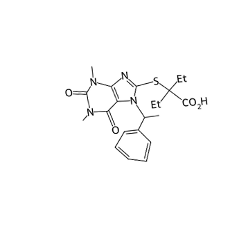 CCC(CC)(Sc1nc2c(c(=O)n(C)c(=O)n2C)n1C(C)c1ccccc1)C(=O)O